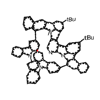 CC(C)(C)c1cc2c3cc4ccccc4c(-c4ccc5c(c4)c4ccccc4n5-c4ccccc4)c3n3c4cnc5c(c6cc(C(C)(C)C)cc7c8c9ccccc9cc(-c9ccc%10c(c9)c9ccccc9n%10-c9ccccc9)c8n5c67)c4c(c1)c23